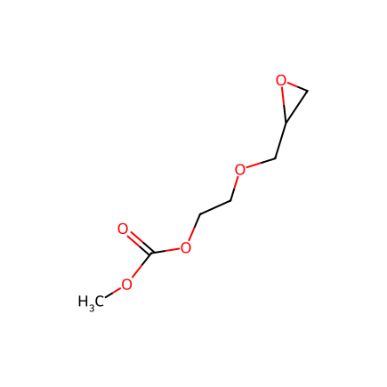 COC(=O)OCCOCC1CO1